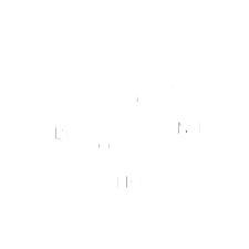 CC(C)(C)OC=O.IC1CCNC1